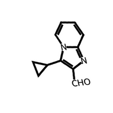 O=Cc1nc2ccccn2c1C1CC1